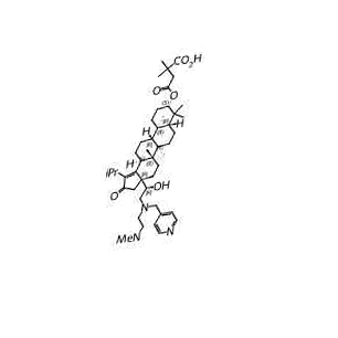 CNCCN(Cc1ccncc1)C[C@H](O)[C@@]12CC[C@]3(C)[C@H](CC[C@@H]4[C@@]5(C)CC[C@H](OC(=O)CC(C)(C)C(=O)O)C(C)(C)[C@@H]5CC[C@]43C)C1=C(C(C)C)C(=O)C2